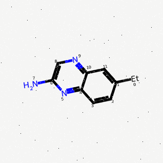 CCc1ccc2nc(N)cnc2c1